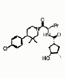 CC(C)[C@@H](NC(=O)[C@@H]1C[C@H](C)[C@@H](O)C1)C(=O)N1CCC(c2ccc(Cl)cc2)C(C)(C)C1